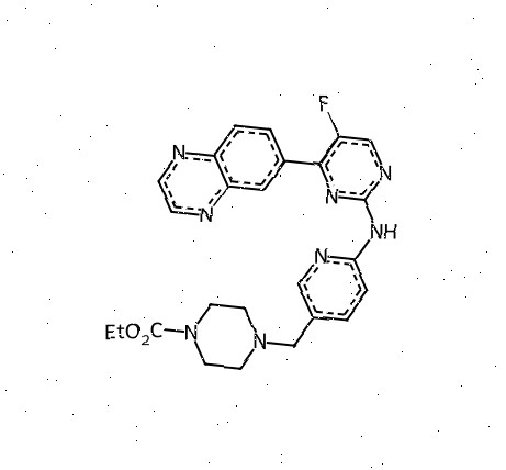 CCOC(=O)N1CCN(Cc2ccc(Nc3ncc(F)c(-c4ccc5nccnc5c4)n3)nc2)CC1